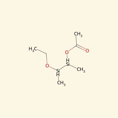 CCO[SiH](C)[SiH](C)OC(C)=O